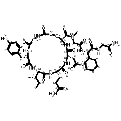 CC[C@H](C)[C@@H]1NC(=O)[C@H](Cc2ccc(O)cc2)NC(=O)CNC(=O)CC[C@@H](C(=O)N(C)CC(=O)N[C@H](C(=O)NCC(N)=O)C2CCCCC2)NC(=O)[C@H](CC(N)=O)NC(=O)[C@H](CCC(N)=O)NC1=O